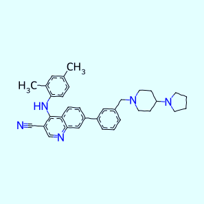 Cc1ccc(Nc2c(C#N)cnc3cc(-c4cccc(CN5CCC(N6CCCC6)CC5)c4)ccc23)c(C)c1